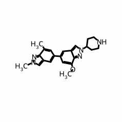 COc1cc(-c2cc(C)c3nn(C)cc3c2)cc2cn(C3CCNCC3)nc12